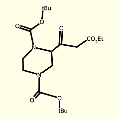 CCOC(=O)CC(=O)C1CN(C(=O)OC(C)(C)C)CCN1C(=O)OC(C)(C)C